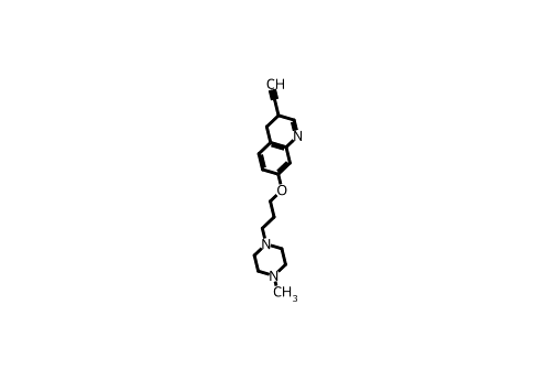 C#CC1C=Nc2cc(OCCCN3CCN(C)CC3)ccc2C1